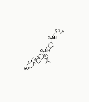 C=C(C)[C@@H]1CC[C@]2(C(=O)NCc3cccc(C(=O)NCCC(=O)O)c3)CC[C@]3(C)C(CCC4[C@@]5(C)CC[C@H](O)C(C)(C)C5CC[C@]43C)C12